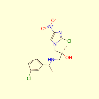 CC(NC[C@](C)(O)Cn1cc([N+](=O)[O-])nc1Cl)c1cccc(Cl)c1